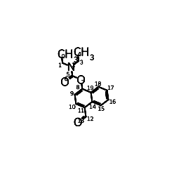 CCN(CC)C(=O)Oc1ccc(C=O)c2ccccc12